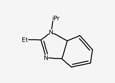 CCC1=NC2C=CC=CC2N1C(C)C